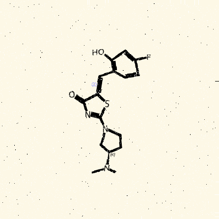 CN(C)[C@@H]1CCN(C2=NC(=O)/C(=C/c3ccc(F)cc3O)S2)C1